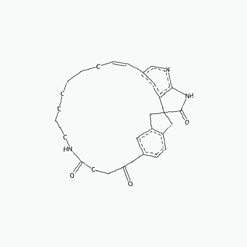 O=C1CCC(=O)c2ccc3c(c2)CC2(C3)C(=O)Nc3ncc(cc32)C=CCCCCCCCN1